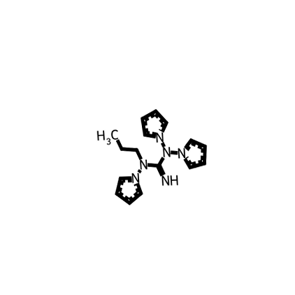 CCCN(C(=N)N(n1cccc1)n1cccc1)n1cccc1